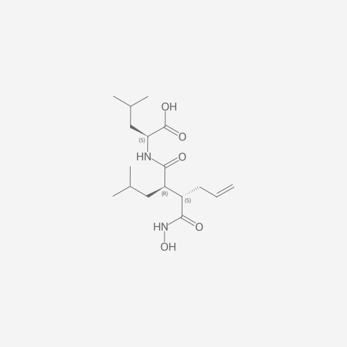 C=CC[C@H](C(=O)NO)[C@@H](CC(C)C)C(=O)N[C@@H](CC(C)C)C(=O)O